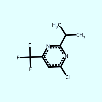 CC(C)c1nc(Cl)cc(C(F)(F)F)n1